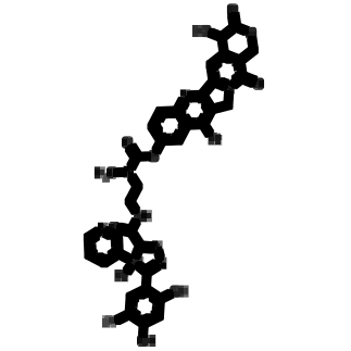 CCc1c2c(nc3ccc(OC(=O)N(C)CCNC(=O)C4=NN=C(c5cc(C(C)C)c(O)cc5O)[N+]4(CC)c4cccnc4)cc13)-c1cc3c(c(=O)n1C2)COC(=O)C3O